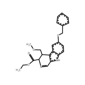 CCOC(=O)C1N=Cc2[nH]c3ccc(OCc4ccccc4)cc3c2C1COC